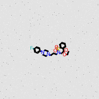 O=S1(=O)c2ccccc2C2(CN1CCCN1CCN(c3ccc(F)cc3)CC1)OCCO2